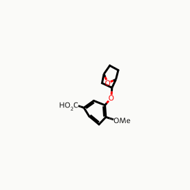 COc1ccc(C(=O)O)cc1OC1CC2CCC1O2